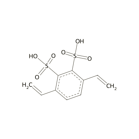 C=Cc1ccc(C=C)c(S(=O)(=O)O)c1S(=O)(=O)O